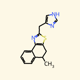 CC1Cc2sc(Cc3c[nH]cn3)nc2-c2ccccc21